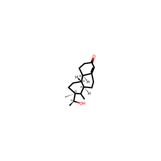 CC1[C@@H]2CCC3=CC(=O)CC[C@@H]3[C@H]2CC[C@]1(C)[C@H](C)O